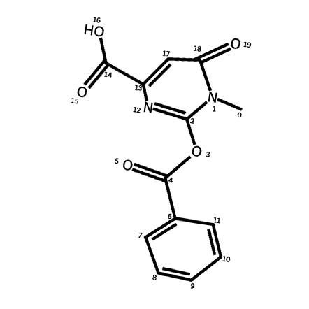 Cn1c(OC(=O)c2ccccc2)nc(C(=O)O)cc1=O